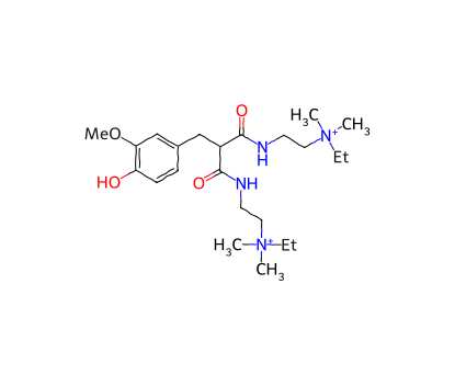 CC[N+](C)(C)CCNC(=O)C(Cc1ccc(O)c(OC)c1)C(=O)NCC[N+](C)(C)CC